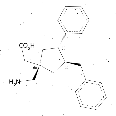 NC[C@]1(CC(=O)O)C[C@H](Cc2ccccc2)[C@@H](c2ccccc2)C1